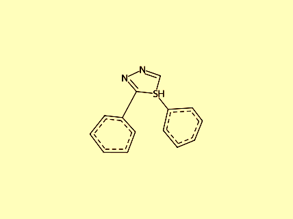 C1=NN=C(c2ccccc2)[SH]1c1ccccc1